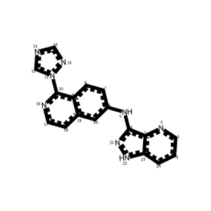 c1cnc2c(Nc3ccc4c(-n5cncn5)nccc4c3)n[nH]c2c1